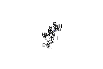 CCN(CC)C1CCC(Nc2nc(NC3CC3)n3ncc(/C=C4\NC(=O)NC4=O)c3n2)CC1